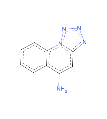 Nc1cc2nnnn2c2ccccc12